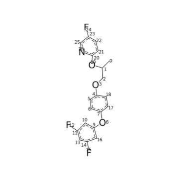 CC(COc1ccc(Oc2cc(F)cc(F)c2)cc1)Oc1ccc(F)cn1